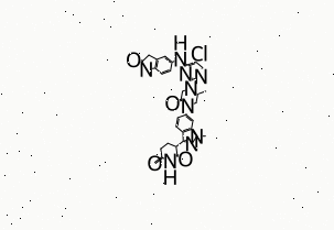 CC1CN(c2ccc3c(C4CCC(=O)NC4=O)nn(C)c3c2)C(=O)CN1c1ncc(Cl)c(Nc2ccc3c(c2)CC(=O)N3C)n1